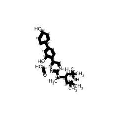 CN(c1ncc(-c2ccc(-c3ccc(O)cc3)cc2O)nn1)C1CC(C)(C)NC(C)(C)C1.O=CO